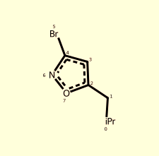 CC(C)Cc1cc(Br)no1